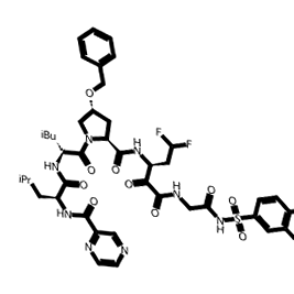 CC[C@@H](C)[C@H](NC(=O)[C@H](CC(C)C)NC(=O)c1cnccn1)C(=O)N1C[C@H](OCc2ccccc2)C[C@H]1C(=O)N[C@@H](CC(F)F)C(=O)C(=O)NCC(=O)NS(=O)(=O)c1ccc(C)c(Cl)c1